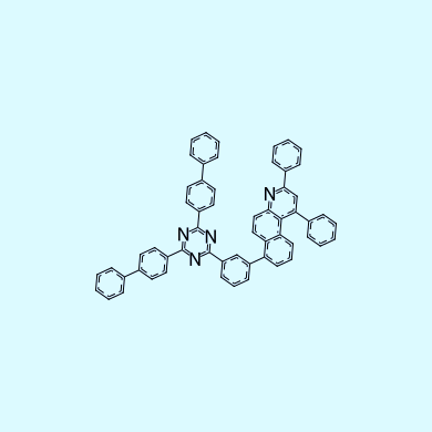 c1ccc(-c2ccc(-c3nc(-c4ccc(-c5ccccc5)cc4)nc(-c4cccc(-c5cccc6c5ccc5nc(-c7ccccc7)cc(-c7ccccc7)c56)c4)n3)cc2)cc1